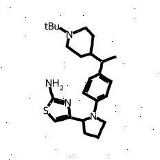 CC(c1ccc(N2CCCC2c2csc(N)n2)cc1)C1CCN(C(C)(C)C)CC1